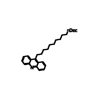 CCCCCCCCCCCCCCCCCCCCc1c2ccccc2nc2ccccc12